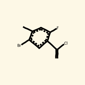 C=C(Cl)c1cc(Br)c(C)cc1F